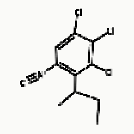 [C-]#[N+]c1cc(Cl)c(Cl)c(Cl)c1C(C)CC